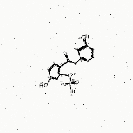 O=C(Cc1cccc(O)c1)c1ccc(O)cc1OP(=O)(O)O